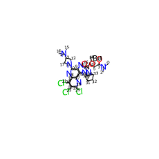 CN(C)C(=O)CCc1nc2c(N3CC(N(C)C)C3)nc3c(Cl)c(Cl)c(Cl)nc3c2n1C1C2CC1N(C(=O)OC(C)(C)C)C2